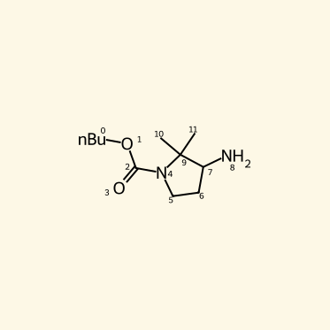 CCCCOC(=O)N1CCC(N)C1(C)C